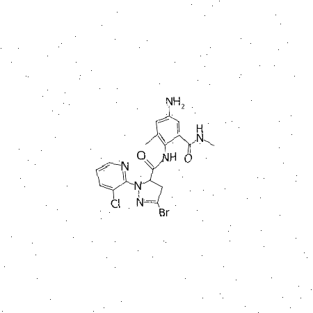 CNC(=O)c1cc(N)cc(C)c1NC(=O)C1CC(Br)=NN1c1ncccc1Cl